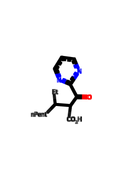 CCCCCC(CC)C(C(=O)O)C(=O)c1ncccn1